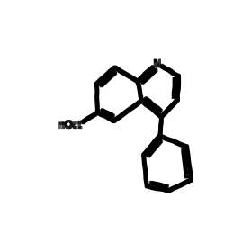 CCCCCCCCc1ccc2nccc(-c3ccccc3)c2c1